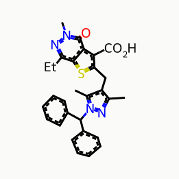 CCc1nn(C)c(=O)c2c(C(=O)O)c(Cc3c(C)nn(C(c4ccccc4)c4ccccc4)c3C)sc12